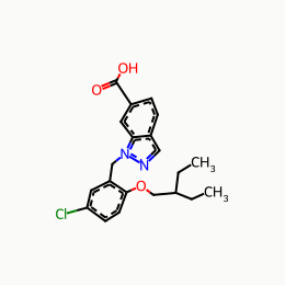 CCC(CC)COc1ccc(Cl)cc1Cn1ncc2ccc(C(=O)O)cc21